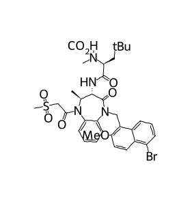 COc1ccc2c(Br)cccc2c1CN1C(=O)[C@@H](NC(=O)[C@H](CC(C)(C)C)N(C)C(=O)O)[C@H](C)N(C(=O)CS(C)(=O)=O)c2ccccc21